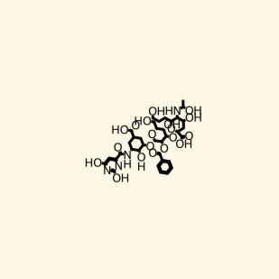 CC(O)NC1C(O)CC(OC2C(O)C(CO)OC(OC3CC(C(=O)O)CC(NC(=O)c4cc(O)nc(O)n4)C3O)C2OC(=O)c2ccccc2)(C(=O)O)OC1CCCO